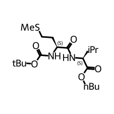 CCCCOC(=O)[C@@H](NC(=O)[C@H](CCSC)NC(=O)OC(C)(C)C)C(C)C